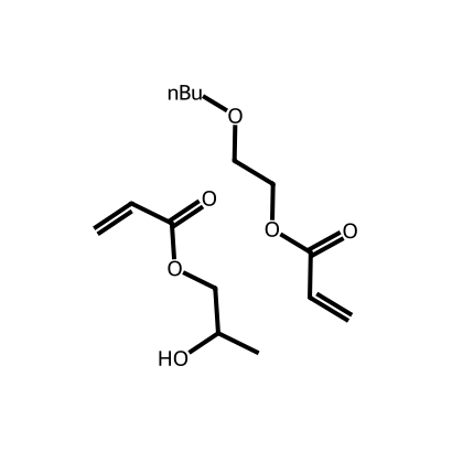 C=CC(=O)OCC(C)O.C=CC(=O)OCCOCCCC